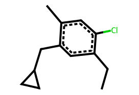 CCc1cc(CC2CC2)c(C)cc1Cl